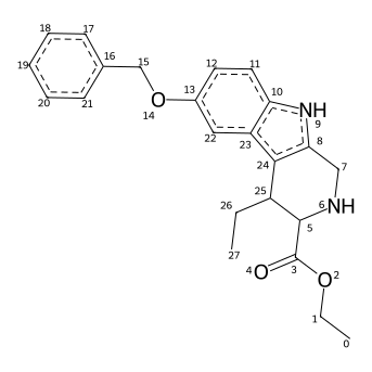 CCOC(=O)C1NCc2[nH]c3ccc(OCc4ccccc4)cc3c2C1CC